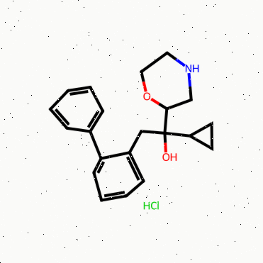 Cl.OC(Cc1ccccc1-c1ccccc1)(C1CC1)C1CNCCO1